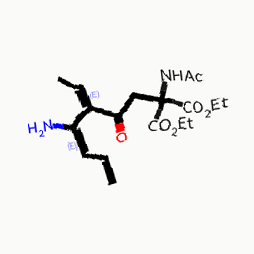 C=C/C=C(N)\C(=C/C)C(=O)CC(NC(C)=O)(C(=O)OCC)C(=O)OCC